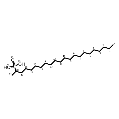 CCCCCCCCCCCCCCCCCCCCC(C)P(=O)(O)O